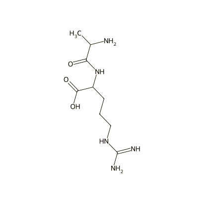 CC(N)C(=O)NC(CCCNC(=N)N)C(=O)O